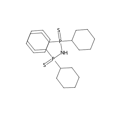 S=P(NP(=S)(C1CCCCC1)C1CCCCC1)(C1CCCCC1)C1CCCCC1